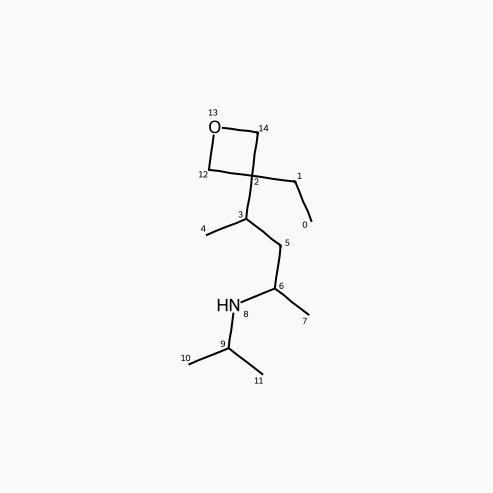 CCC1(C(C)CC(C)NC(C)C)COC1